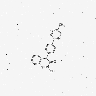 Cc1cnc(-c2ccc(C(C(=O)NO)c3ccccc3F)cc2)nc1